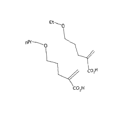 C=C(CCCOCC)C(=O)O.C=C(CCCOCCC)C(=O)O